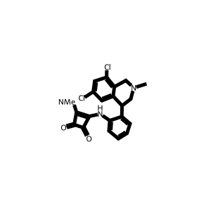 CNc1c(Nc2ccccc2C2CN(C)Cc3c(Cl)cc(Cl)cc32)c(=O)c1=O